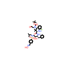 CC(C)CN(C[C@@H](O)[C@H](Cc1ccccc1)NC(=O)[C@@H](Nc1c(F)cccc1CN(CC=O)C(=O)OC(C)(C)C)C(C)(C)C)S(=O)(=O)c1ccc(/C=N/O)cc1